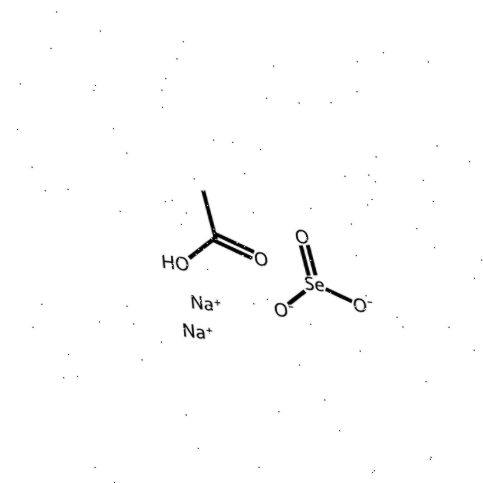 CC(=O)O.O=[Se]([O-])[O-].[Na+].[Na+]